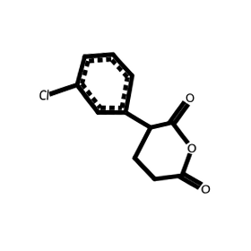 O=C1CCC(c2cccc(Cl)c2)C(=O)O1